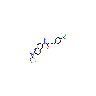 CN(c1ccc2cc(NC(=O)CCc3ccc(C(F)(F)F)cc3)ccc2n1)C1CCCC1